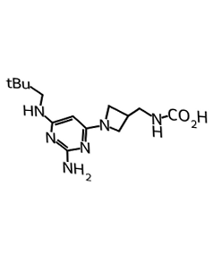 CC(C)(C)CNc1cc(N2CC(CNC(=O)O)C2)nc(N)n1